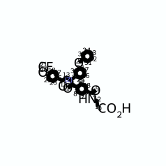 O=C(O)CCNC(=O)c1ccc(C(=O)/C(=C\C(=O)c2ccc(OC(F)(F)F)cc2)c2cccc(Oc3ccccc3)c2)cc1